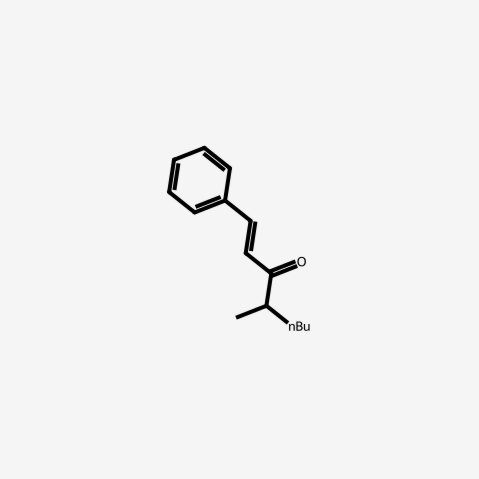 CCCCC(C)C(=O)C=Cc1ccccc1